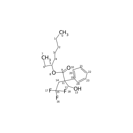 CCCCCC(CC)OC(=O)C(CO)(CC(F)(F)F)c1ccccc1